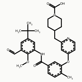 COc1c(C=O)cc(C(C)(C)C)cc1NC(=O)c1ccc(C)c(Oc2ccnc(CC3CCN(C(=O)O)CC3)c2)c1